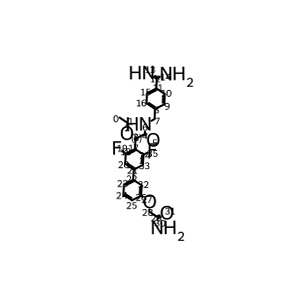 CCO[C@H](C(=O)NCc1ccc(C(=N)N)cc1)c1c(F)cc(-c2cccc(OCC(N)=O)c2)cc1F